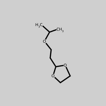 CC(C)OCCC1OCCO1